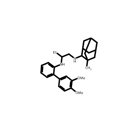 CCC(CNC1C2CC3CC(C2)CC1(C)C3)Nc1ccccc1-c1ccc(OC)c(OC)c1